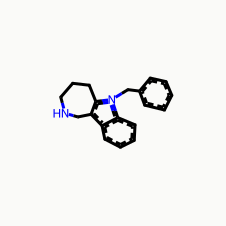 c1ccc(Cn2c3c(c4ccccc42)CNCCC3)cc1